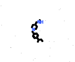 CCC(C)c1ccc(CN2CCC(CNC)CC2)cc1